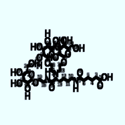 O=C(O)CCCCC(=O)NCCCC[C@@H](C(=O)NCCO[C@H]1O[C@H](CO)[C@@H](O)[C@H](O)[C@@H]1O)N(CCO[C@H]1O[C@H](CO)[C@@H](O)[C@H](O)[C@@H]1O)CCO[C@H]1O[C@H](CO)[C@@H](O)[C@H](O)[C@@H]1O